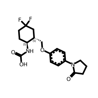 O=C(O)N[C@H]1CCC(F)(F)C[C@@H]1COc1ccc(N2CCCC2=O)cc1